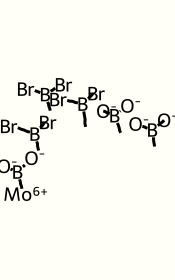 CB(Br)Br.CB(Br)Br.CB(Br)Br.CB([O-])[O-].CB([O-])[O-].CB([O-])[O-].[Mo+6]